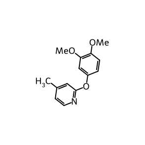 COc1ccc(Oc2cc(C)ccn2)cc1OC